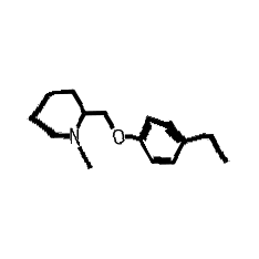 CCc1ccc(OCC2CCCCN2C)cc1